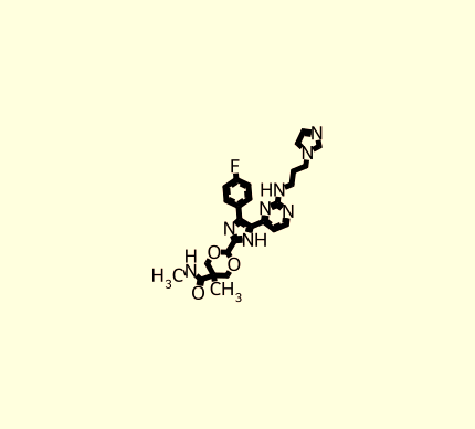 CNC(=O)C1(C)COC(c2nc(-c3ccc(F)cc3)c(-c3ccnc(NCCCN4CC=NC4)n3)[nH]2)OC1